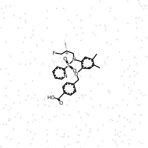 Cc1cc(OCc2ccc(C(=O)O)cc2)c(N(C[C@@H](C)CF)S(=O)(=O)c2ccccn2)cc1C